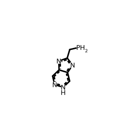 PCc1nc2cn[nH]cc-2n1